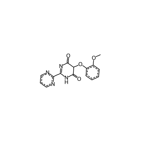 COc1ccccc1OC1C(=O)N=C(c2ncccn2)NC1=O